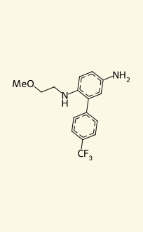 COCCNc1ccc(N)cc1-c1ccc(C(F)(F)F)cc1